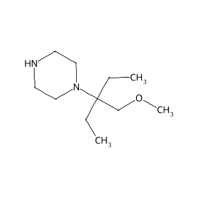 CCC(CC)(COC)N1CCNCC1